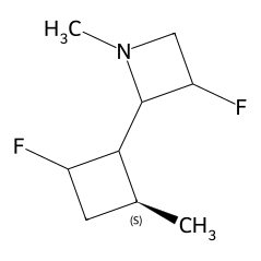 C[C@H]1CC(F)C1C1C(F)CN1C